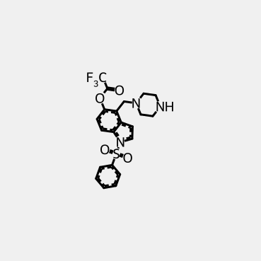 O=C(Oc1ccc2c(ccn2S(=O)(=O)c2ccccc2)c1CN1CCNCC1)C(F)(F)F